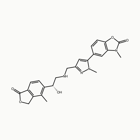 Cc1c([C@@H](O)CNCc2cc(-c3ccc4oc(=O)n(C)c4c3)n(C)n2)ccc2c1COC2=O